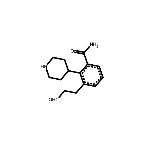 NC(=O)c1cccc(CCC=O)c1C1CCNCC1